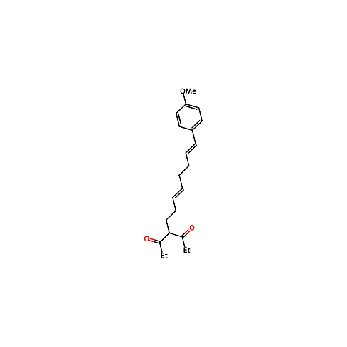 CCC(=O)C(CC/C=C/CC/C=C/c1ccc(OC)cc1)C(=O)CC